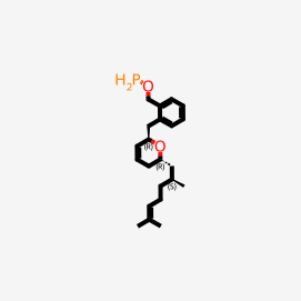 CC(C)=CCC[C@H](C)C[C@@H]1CC=C[C@@H](Cc2ccccc2COP)O1